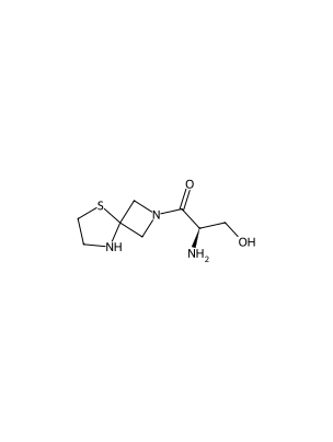 N[C@H](CO)C(=O)N1CC2(C1)NCCS2